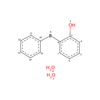 O.O.Oc1ccccc1[B]c1ccccc1